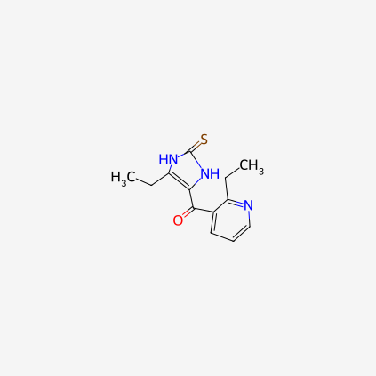 CCc1ncccc1C(=O)c1[nH]c(=S)[nH]c1CC